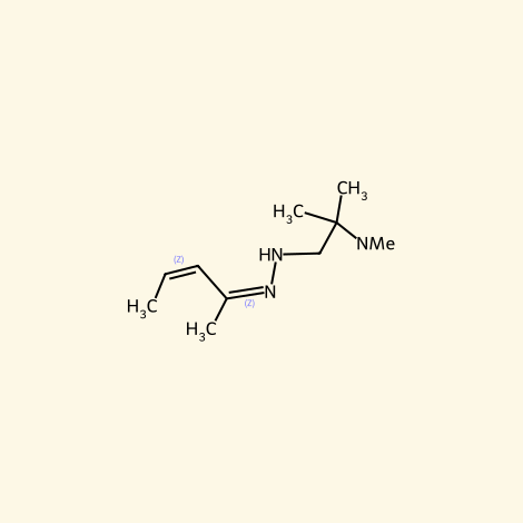 C/C=C\C(C)=N/NCC(C)(C)NC